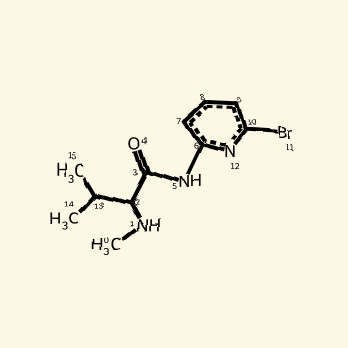 CNC(C(=O)Nc1cccc(Br)n1)C(C)C